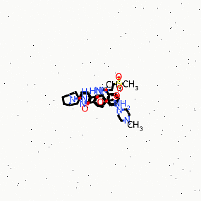 C[C@H](NC(=O)c1ccc(N2C3CCC2CC(NC(=O)c2ccc(C(N)=O)c(NCCS(C)(=O)=O)c2)C3)nc1)c1ccc(N2CCN(C)CC2)cc1